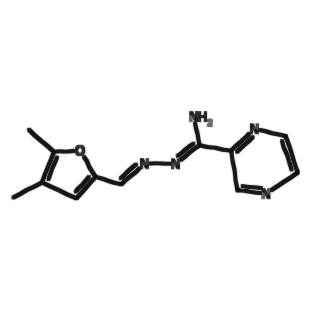 Cc1cc(C=NN=C(N)c2cnccn2)oc1C